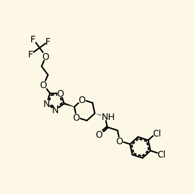 O=C(COc1ccc(Cl)c(Cl)c1)N[C@H]1CO[C@H](c2nnc(OCCOC(F)(F)F)o2)OC1